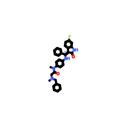 CN(CC(=O)N(C)c1ccc(N/C(=C2\C(=O)Nc3cc(F)ccc32)c2ccccc2)cc1)Cc1ccccc1